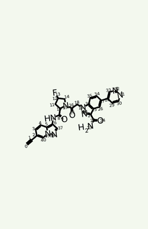 C#Cc1ccc2c(NC(=O)C3CC(F)CN3C(=O)Cn3nc(C(N)=O)c4cc(-c5ccnnc5)ccc43)cnn2c1